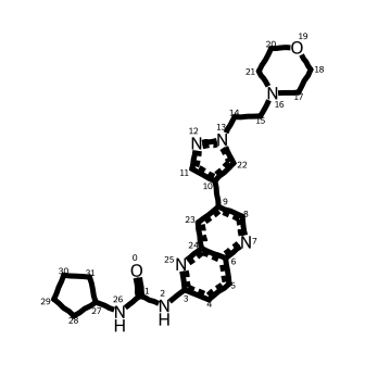 O=C(Nc1ccc2ncc(-c3cnn(CCN4CCOCC4)c3)cc2n1)NC1CCCC1